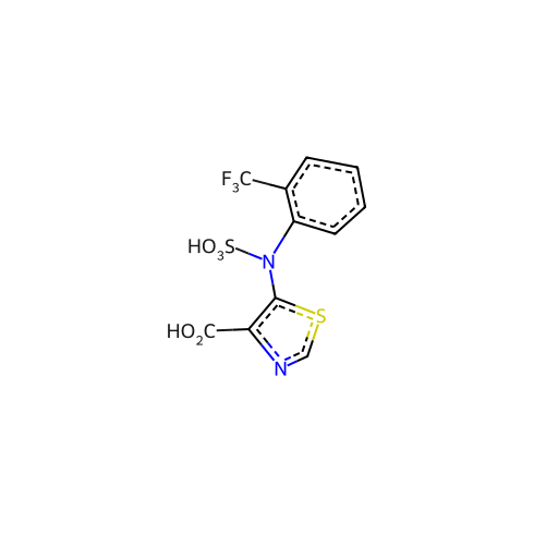 O=C(O)c1ncsc1N(c1ccccc1C(F)(F)F)S(=O)(=O)O